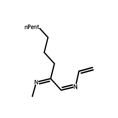 C=C/N=C\C(CCCCCCCC)=N/C